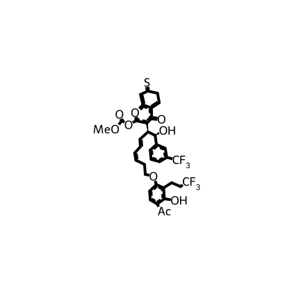 COC(=O)Oc1oc2c(c(=O)c1[C@H](/C=C/C=C\CCOc1ccc(C(C)=O)c(O)c1CCC(F)(F)F)[C@@H](O)c1cccc(C(F)(F)F)c1)=CCC(=S)C=2